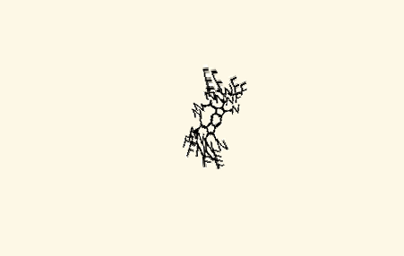 N#CC(C#N)=C1C(c2nc(C(F)(F)F)nc(C(F)(F)F)n2)=C(C#N)c2cc3c(cc21)C(=C(C#N)C#N)C(c1nc(C(F)(F)F)nc(C(F)(F)F)n1)=C3C#N